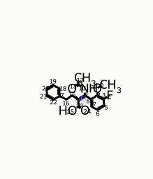 COc1c(F)cccc1/C(NC(C)=O)=C(/CCc1ccccc1)C(=O)O